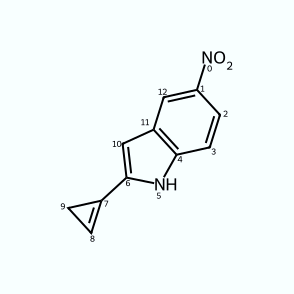 O=[N+]([O-])c1ccc2[nH]c(C3=CC3)cc2c1